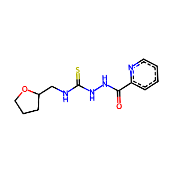 O=C(NNC(=S)NCC1CCCO1)c1ccccn1